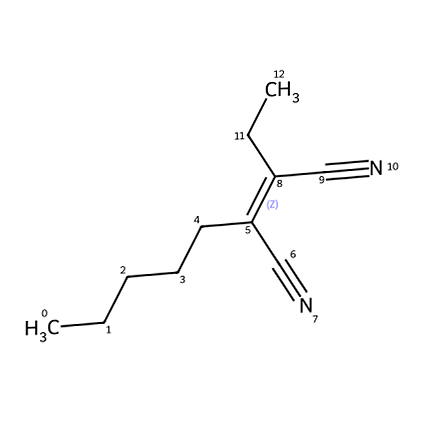 CCCCC/C(C#N)=C(/C#N)CC